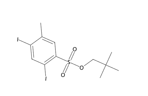 Cc1cc(S(=O)(=O)OCC(C)(C)C)c(I)cc1I